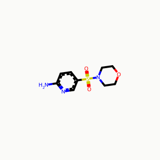 Nc1ccc(S(=O)(=O)N2CCOCC2)cn1